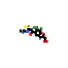 CN/C(S)=C\C(=O)c1cc2c(c(Cl)c1Cl)OC(CO)C2